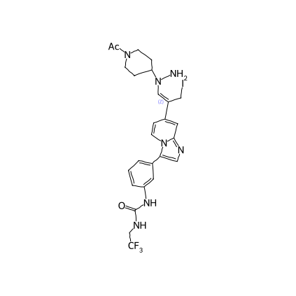 CC(=O)N1CCC(N(N)/C=C(\CI)c2ccn3c(-c4cccc(NC(=O)NCC(F)(F)F)c4)cnc3c2)CC1